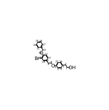 OCCc1ccc(OCCc2ccc(OCc3ccccc3)c(Br)c2)cc1